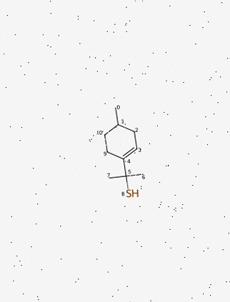 CC1CC=C(C(C)(C)S)CC1